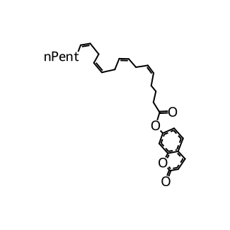 CCCCC/C=C\C/C=C\C/C=C\C/C=C\CCCC(=O)Oc1ccc2ccc(=O)oc2c1